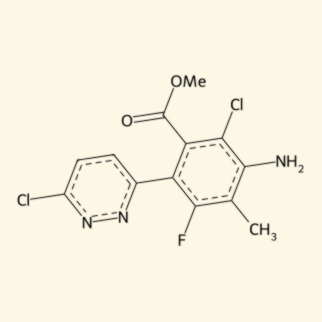 COC(=O)c1c(Cl)c(N)c(C)c(F)c1-c1ccc(Cl)nn1